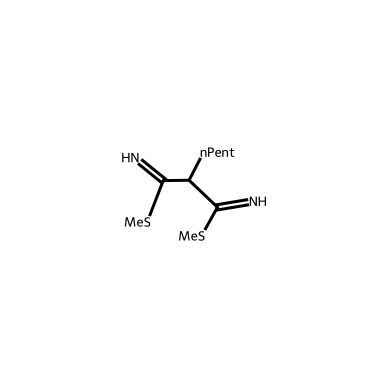 CCCCCC(C(=N)SC)C(=N)SC